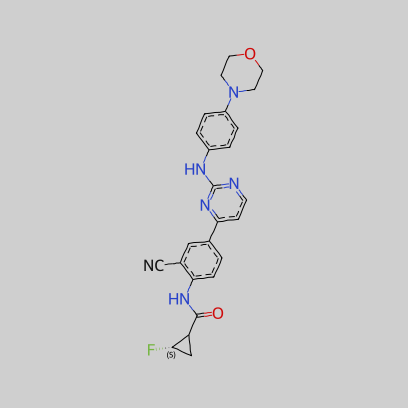 N#Cc1cc(-c2ccnc(Nc3ccc(N4CCOCC4)cc3)n2)ccc1NC(=O)C1C[C@@H]1F